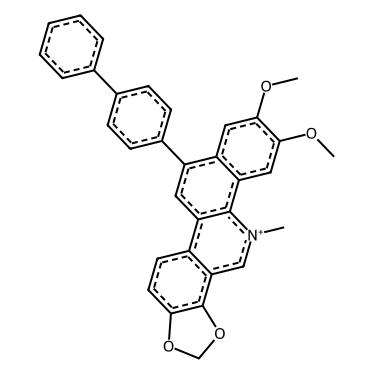 COc1cc2c(-c3ccc(-c4ccccc4)cc3)cc3c4ccc5c(c4c[n+](C)c3c2cc1OC)OCO5